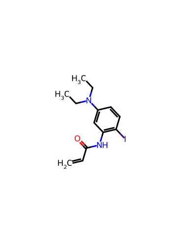 C=CC(=O)Nc1cc(N(CC)CC)ccc1I